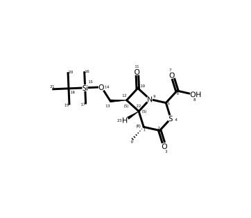 C[C@H]1C(=O)SC(C(=O)O)N2C(=O)[C@H](CO[Si](C)(C)C(C)(C)C)[C@@H]12